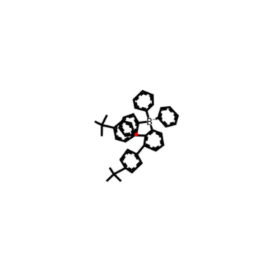 CC(C)(C)c1ccc(-c2cccc([B-](c3ccccc3)(c3ccccc3)c3ccccc3)c2-c2ccc(C(C)(C)C)cc2)cc1